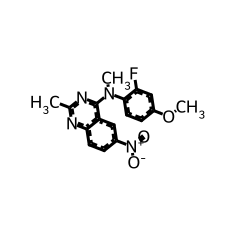 COc1ccc(N(C)c2nc(C)nc3ccc([N+](=O)[O-])cc23)c(F)c1